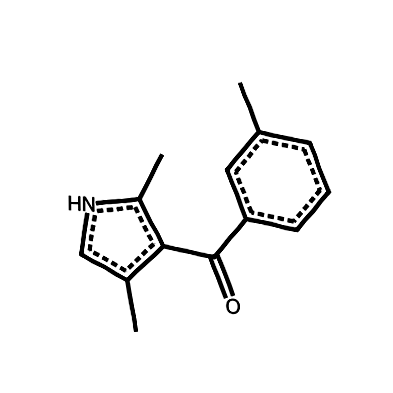 Cc1cccc(C(=O)c2c(C)c[nH]c2C)c1